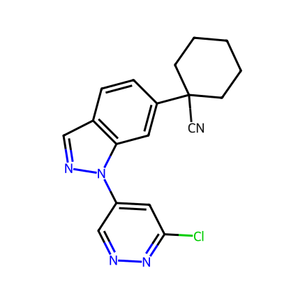 N#CC1(c2ccc3cnn(-c4cnnc(Cl)c4)c3c2)CCCCC1